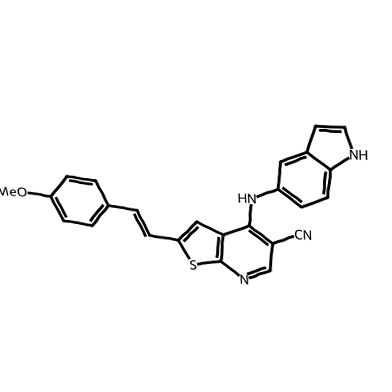 COc1ccc(C=Cc2cc3c(Nc4ccc5[nH]ccc5c4)c(C#N)cnc3s2)cc1